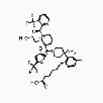 CCC[C@H]1N(C(=O)c2ncccc2C(F)(F)F)CCC[C@@]1(Oc1csc(C(F)(F)F)c1)C(=O)N1CCC(N)(c2cc(F)ccc2OCCCCC(=O)O)CC1